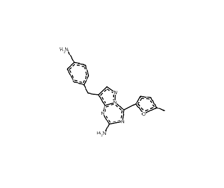 Cc1ccc(-c2nc(N)nc3c(Cc4ccc(N)cc4)cnn23)o1